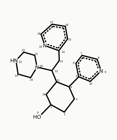 OC1CCC(c2cccnc2)C(C(Cc2ccccn2)N2CCNCC2)C1